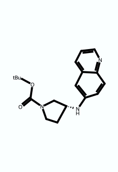 CC(C)(C)OC(=O)N1CC[C@@H](Nc2ccc3ncccc3c2)C1